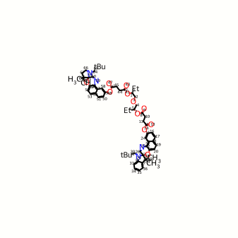 CCC(COCC(CC)OC(=O)CCC(=O)Oc1ccc2ccc3c(c2c1)N=CC1(O3)N(CC(C)(C)C)c2ccccc2C1(C)C)OC(=O)CCC(=O)Oc1ccc2ccc3c(c2c1)N=CC1(O3)N(CC(C)(C)C)CCC1(C)C